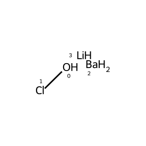 OCl.[BaH2].[LiH]